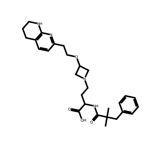 CC(C)(Cc1ccccc1)C(=O)NC(CCN1CC(OCCc2ccc3c(n2)NCCC3)C1)C(=O)O